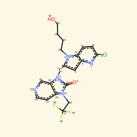 O=c1n(Cc2cc3nc(Cl)ccc3n2CCCCO)c2cnccc2n1CC(F)(F)F